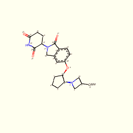 COC1CN([C@H]2CCC[C@H]2Oc2ccc3c(c2)CN(C2CCC(=O)NC2=O)C3=O)C1